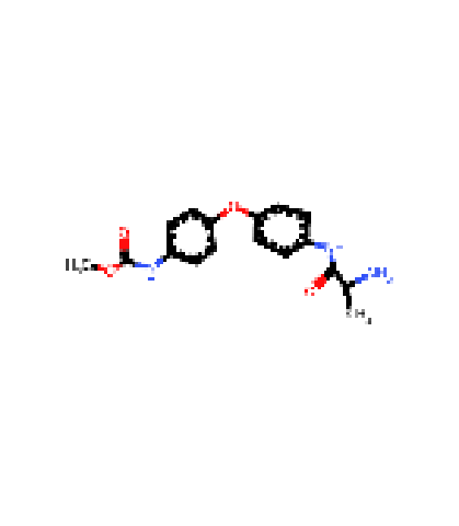 COC(=O)Nc1ccc(Oc2ccc(NC(=O)C(C)N)cc2)cc1